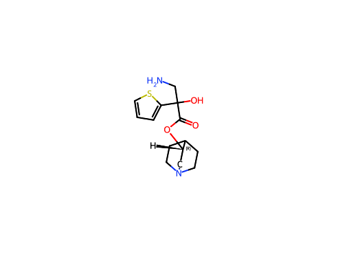 NCC(O)(C(=O)O[C@H]1CN2CCC1CC2)c1cccs1